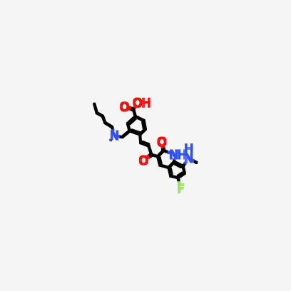 CCCCCN(C)Cc1cc(C(=O)O)ccc1C=CC(=O)c1cc2cc(F)cc(NC)c2[nH]c1=O